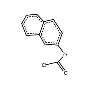 O=C(Cl)Oc1ccc2ccccc2c1